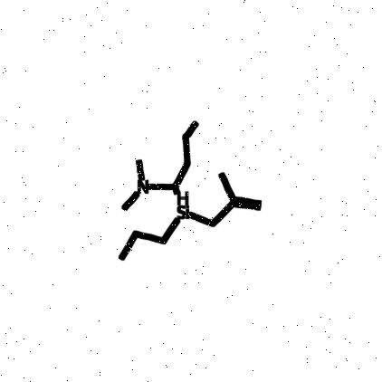 C=C(C)C[SiH](CCC)C(CCC)N(C)C